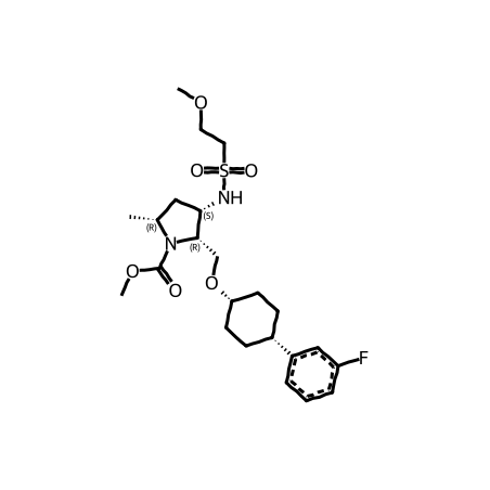 COCCS(=O)(=O)N[C@H]1C[C@@H](C)N(C(=O)OC)[C@H]1CO[C@H]1CC[C@@H](c2cccc(F)c2)CC1